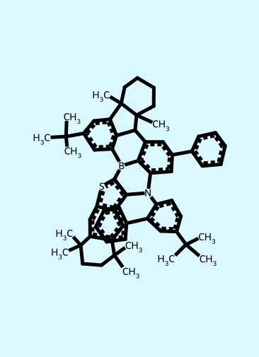 CC(C)(C)c1ccc(N2c3cc(-c4ccccc4)cc4c3B(c3cc(C(C)(C)C)cc5c3C4C3(C)CCCCC53C)c3sc4cc5c(cc4c32)C(C)(C)CCC5(C)C)c(-c2ccccc2)c1